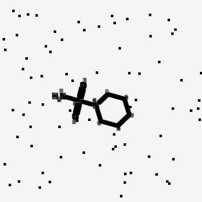 NS(=O)(=O)N1C[CH]CCC1